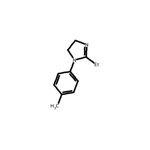 CCC1=NCCN1c1ccc(C)cc1